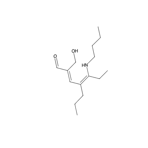 CCCCN/C(CC)=C(\C=C(\C=O)CO)CCC